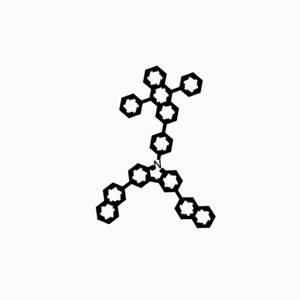 c1ccc(-c2c3ccccc3c(-c3ccccc3)c3cc(-c4ccc(-n5c6ccc(-c7ccc8ccccc8c7)cc6c6cc(-c7ccc8ccccc8c7)ccc65)cc4)ccc23)cc1